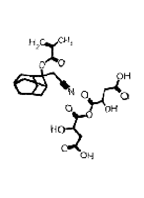 C=C(C)C(=O)OC1(CC#N)C2CC3CC(C2)CC1C3.O=C(O)CC(O)C(=O)OC(=O)C(O)CC(=O)O